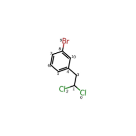 ClC(Cl)Cc1c[c]cc(Br)c1